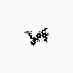 CCCCC(Oc1ccc(C(=O)c2cc(CCCC(=O)O)n3ccccc23)cc1)c1ccc(CC(C)C)c(F)c1